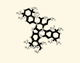 CC/C=C1\C(=C(C)C)B(C2=CC=C3C(C2)C(C)(C)CCC3(C)C)c2oc3cc(C(C)(C)C)c(C(C)(C)CC)cc3c2N1c1cc2c(cc1C)C(C)(C)CCC2(C)C